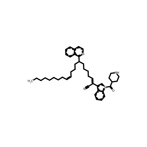 CCCCCCCC/C=C\CCCC(CCCC/C=C(\C#N)c1cn(C(=O)C2CCNCC2)c2ccccc12)c1nccc2ccccc12